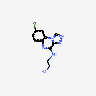 NCCNc1nc2ccc(Cl)cc2n2cnnc12